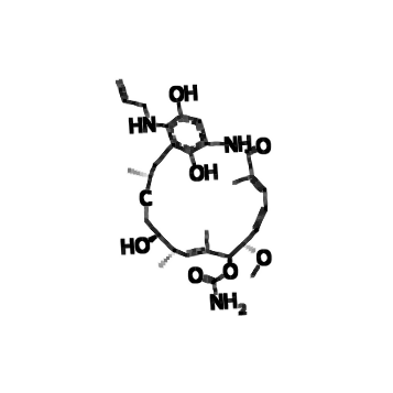 C=CCNc1c(O)cc2c(O)c1C[C@@H](C)CC[C@H](O)[C@@H](C)/C=C(\C)[C@H](OC(N)=O)[C@@H](OC)/C=C\C=C(/C)C(=O)N2